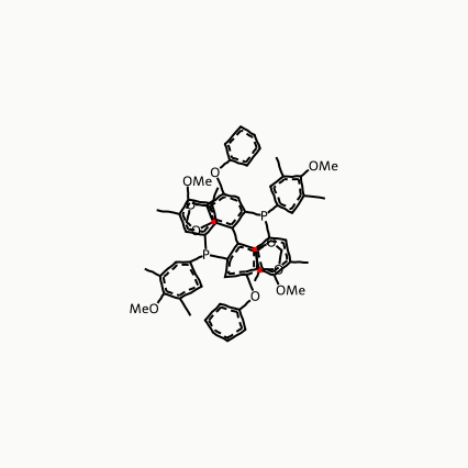 COc1c(C)cc(P(c2cc(C)c(OC)c(C)c2)c2cc(Oc3ccccc3)c3c(c2-c2c(P(c4cc(C)c(OC)c(C)c4)c4cc(C)c(OC)c(C)c4)cc(Oc4ccccc4)c4c2OCO4)OCO3)cc1C